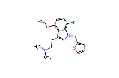 CCCCOc1ccc(F)c2c1c(CCN(C)C)cn2Cc1ccco1